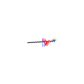 CCCCCCCCCCCCCCCCCCNC(=O)OC[C@@H](COCCCC[n+]1ccsc1)OC(=O)OC.[I-]